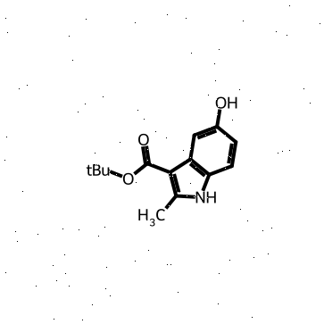 Cc1[nH]c2ccc(O)cc2c1C(=O)OC(C)(C)C